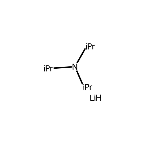 CC(C)N(C(C)C)C(C)C.[LiH]